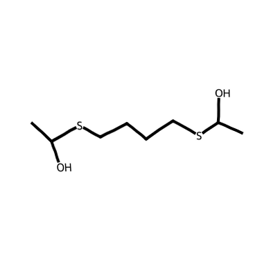 CC(O)SCCCCSC(C)O